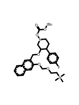 CC(C)(C)OC(=O)ON1CCC(c2ccc(F)cc2)C(OCc2cc3ccccc3cc2OCOCC[Si](C)(C)C)C1